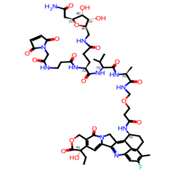 CC[C@@]1(O)C(=O)OCc2c1cc1n(c2=O)Cc2c-1nc1cc(F)c(C)c3c1c2[C@@H](NC(=O)CCOCNC(=O)[C@H](C)NC(=O)[C@@H](NC(=O)[C@H](CCC(=O)NC[C@H]1O[C@@H](CC(N)=O)[C@H](O)[C@@H]1O)NC(=O)CCNC(=O)CN1C(=O)C=CC1=O)C(C)C)CC3